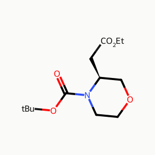 CCOC(=O)C[C@H]1COCCN1C(=O)OC(C)(C)C